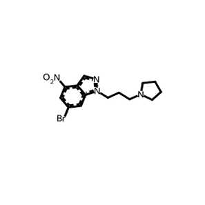 O=[N+]([O-])c1cc(Br)cc2c1cnn2CCCN1CCCC1